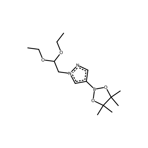 CCOC(Cn1cc(B2OC(C)(C)C(C)(C)O2)cn1)OCC